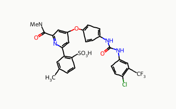 CNC(=O)c1cc(Oc2ccc(NC(=O)Nc3ccc(Cl)c(C(F)(F)F)c3)cc2)cc(-c2cc(C)ccc2S(=O)(=O)O)n1